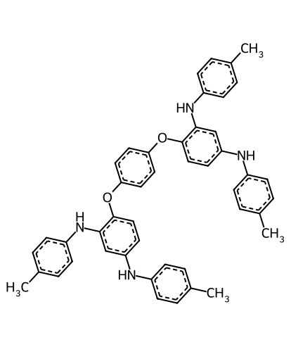 Cc1ccc(Nc2ccc(Oc3ccc(Oc4ccc(Nc5ccc(C)cc5)cc4Nc4ccc(C)cc4)cc3)c(Nc3ccc(C)cc3)c2)cc1